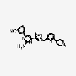 CN1CCC(c2cccc(Cn3cc(-c4cc(-c5cccc(C#N)c5)nc(N)n4)nn3)n2)CC1